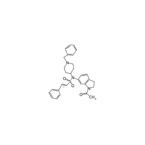 CC(=O)N1CCc2ccc(N(C3CCN(Cc4ccccc4)CC3)S(=O)(=O)/C=C/c3ccccc3)cc21